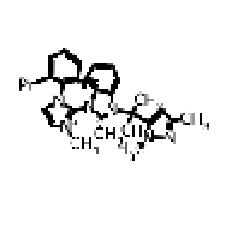 Cc1cc(C(C)(C)N2c3ccccc3N(c3n(-c4c(C(C)C)cccc4C(C)C)cc[n+]3C)[C@H]2C)n(C)n1